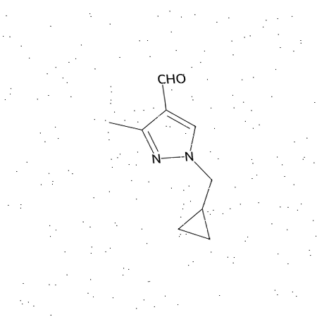 Cc1nn(CC2CC2)cc1C=O